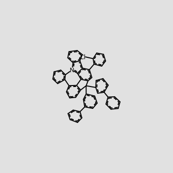 Clc1ccccc1-c1cc2c3c4c1c1ccccc1n4-c1ccccc1-c1cccc(c1-3)C2(c1cccc(-c2ccccc2)c1)c1cccc(-c2ccccc2)c1